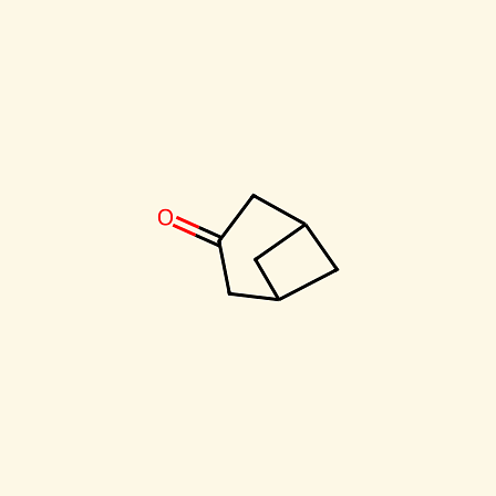 O=C1CC2CC(C1)C2